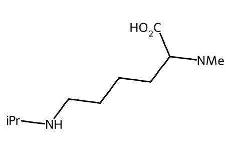 CNC(CCCCNC(C)C)C(=O)O